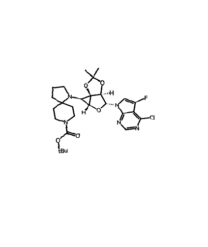 CC(C)(C)OC(=O)N1CCC2(CCCN2C2[C@H]3O[C@@H](n4cc(F)c5c(Cl)ncnc54)[C@@H]4OC(C)(C)O[C@]234)CC1